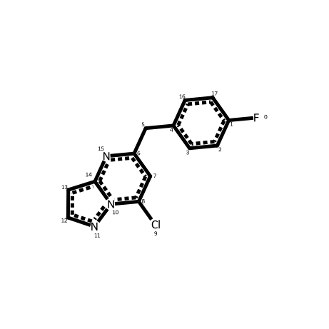 Fc1ccc(Cc2cc(Cl)n3nccc3n2)cc1